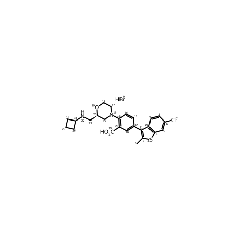 Br.Cc1sc2cc(Cl)ccc2c1-c1ccc(N2CCO[C@H](CNC3CCC3)C2)c(C(=O)O)c1